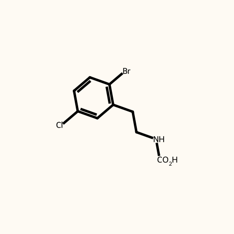 O=C(O)NCCc1cc(Cl)ccc1Br